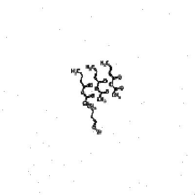 CCCC(=O)OC(C)=O.CCCC(=O)OC(C)=O.CCCC(=O)OC(C)=O.CCCC[O][Zr]